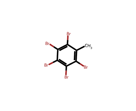 Cc1c(Br)c(Br)c(Br)c(Br)c1Br